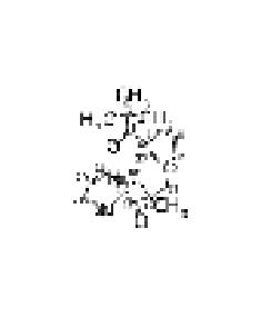 CC(C)(C)C(=O)c1cccc(CC(C)(C)C(=O)c2ccccn2)c1